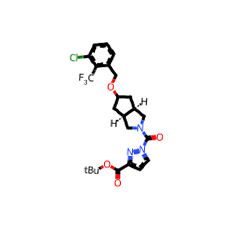 CC(C)(C)OC(=O)c1ccn(C(=O)N2C[C@H]3CC(OCc4cccc(Cl)c4C(F)(F)F)C[C@H]3C2)n1